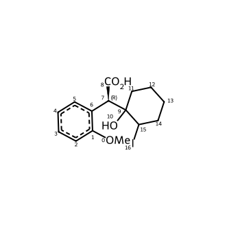 COc1ccccc1[C@@H](C(=O)O)C1(O)CCCCC1I